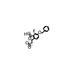 O=[N+]([O-])CC1OB(O)c2c1ccc(OCc1ccccc1)c2F